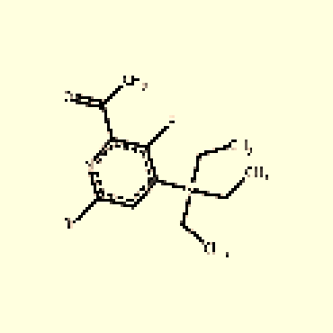 CC[Si](CC)(CC)c1cc(Br)nc(C(C)=O)c1F